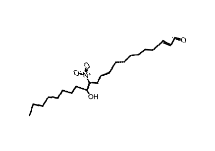 CCCCCCCCC(O)C(CCCCCCCCC/C=C/[C]=O)[N+](=O)[O-]